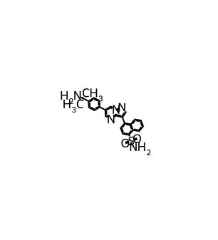 CC(C)(N)c1ccc(-c2cnc3c(-c4ccc(S(N)(=O)=O)c5ccccc45)cnn3c2)cc1